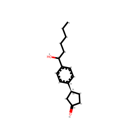 CCCCCC(O)c1ccc([C@H]2CCC(=O)C2)cc1